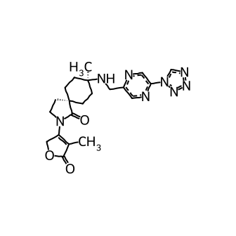 CC1=C(N2CC[C@]3(CC[C@](C)(NCc4cnc(-n5cnnn5)cn4)CC3)C2=O)COC1=O